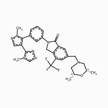 C[C@@H]1CN(Cc2cc3c(c(C(F)(F)F)c2)CN(c2cccc(-c4c(-c5nncn5C)cnn4C)c2)C3=O)C[C@H](C)O1